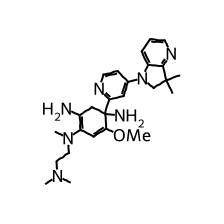 COC1=CC(N(C)CCN(C)C)=C(N)CC1(N)c1cc(N2CC(C)(C)c3ncccc32)ccn1